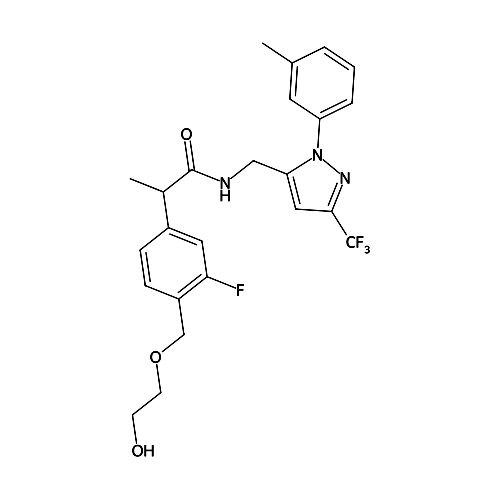 Cc1cccc(-n2nc(C(F)(F)F)cc2CNC(=O)C(C)c2ccc(COCCO)c(F)c2)c1